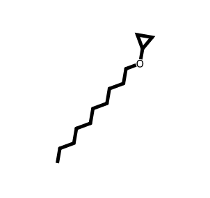 CCCCCCCCCCOC1CC1